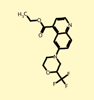 CCOC(=O)c1ccnc2ccc(N3CCOC(C(F)(F)F)C3)cc12